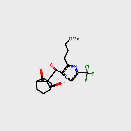 COCCCc1nc(C(F)(F)Cl)ccc1C(=O)C1C(=O)C2CCC(CC2)C1=O